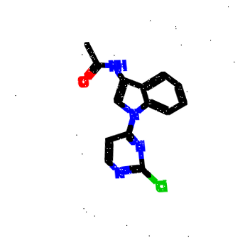 CC(=O)Nc1cn(-c2ccnc(Cl)n2)c2ccccc12